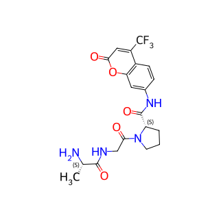 C[C@H](N)C(=O)NCC(=O)N1CCC[C@H]1C(=O)Nc1ccc2c(C(F)(F)F)cc(=O)oc2c1